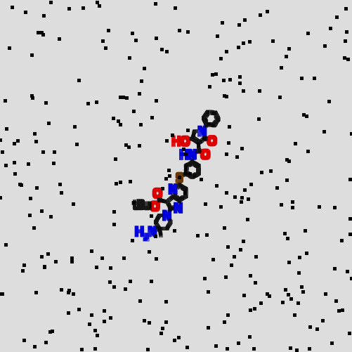 CC1(N)CCN(C2=Nc3ccc(Sc4cccc(NC(=O)C5=C(O)CN(c6ccccc6)C5=O)c4)nc3C2C(=O)OC(C)(C)C)CC1